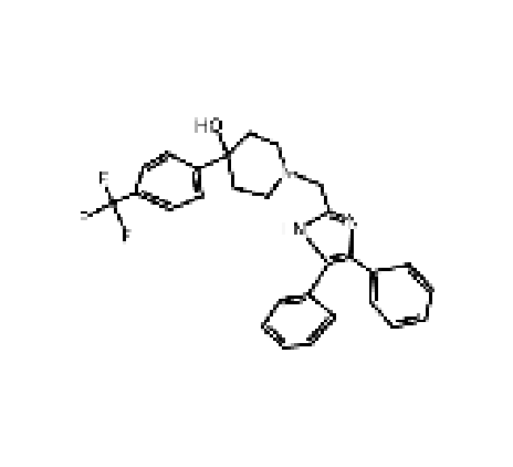 OC1(c2ccc(C(F)(F)F)cc2)CCN(Cc2nc(-c3ccccc3)c(-c3ccccc3)[nH]2)CC1